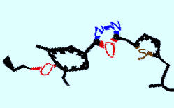 C=CCOc1c(C)cc(-c2nnc(-c3ccc(CC(C)C)s3)o2)cc1C